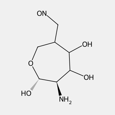 N[C@@H]1C(O)C(O)C(CN=O)CO[C@H]1O